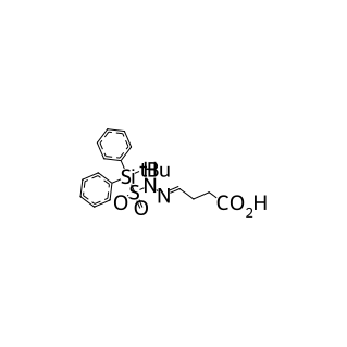 CC(C)(C)[Si](c1ccccc1)(c1ccccc1)S(=O)(=O)NN=CCCC(=O)O